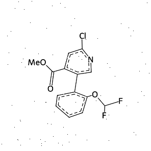 COC(=O)c1cc(Cl)ncc1-c1ccccc1OC(F)F